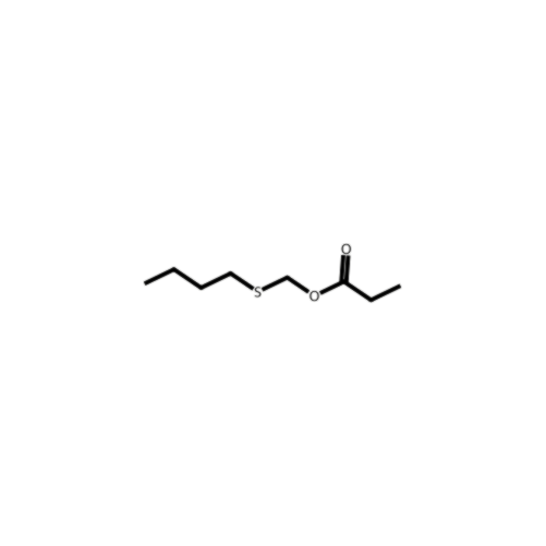 CCCCSCOC(=O)CC